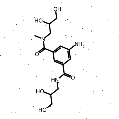 CN(CC(O)CO)C(=O)c1cc(N)cc(C(=O)NCC(O)CO)c1